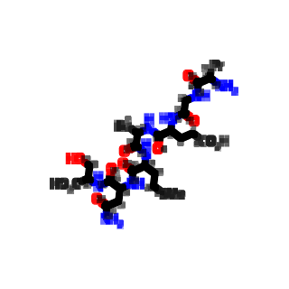 CCC(C)C(NC(=O)C(CCC(=O)O)NC(=O)CNC(=O)C(N)C(C)C)C(=O)NC(CCSC)C(=O)NC(CC(N)=O)C(=O)NC(CO)C(=O)O